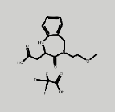 COCCN1Cc2ccccc2NC(CC(=O)O)C1=O.O=C(O)C(F)(F)F